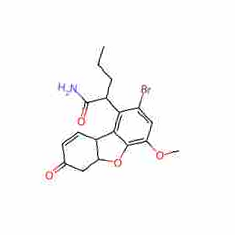 CCCC(C(N)=O)c1c(Br)cc(OC)c2c1C1C=CC(=O)CC1O2